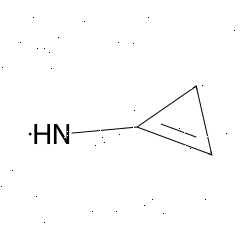 [NH]C1=CC1